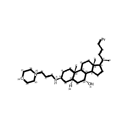 CC(C)CCC[C@@H](C)C1CCC2C3C(CC[C@@]21C)[C@@]1(C)CC[C@H](NCCCN2CCOCC2)C[C@@H]1C[C@H]3O